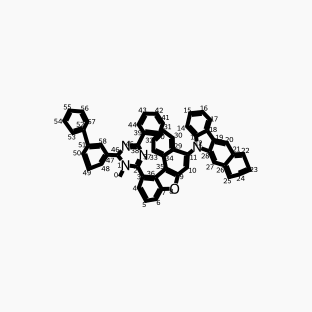 CN1C(c2cccc3oc4cc(-n5c6ccccc6c6cc7ccccc7cc65)c5ccccc5c4c23)=NC(c2ccccc2)=NC1c1cccc(-c2ccccc2)c1